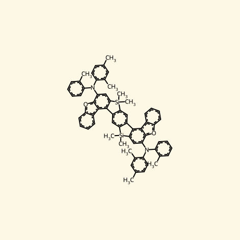 Cc1ccc(N(c2ccccc2C)c2cc3c(c4c2oc2ccccc24)-c2cc4c(cc2[Si]3(C)C)-c2c(cc(N(c3ccccc3C)c3ccc(C)cc3C)c3oc5ccccc5c23)[Si]4(C)C)c(C)c1